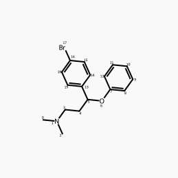 CN(C)CCC(Oc1ccccc1)c1ccc(Br)cc1